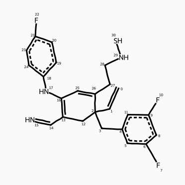 C=CC1(Cc2cc(F)cc(F)c2)CC(C=N)=C(Nc2ccc(F)cc2)C=C1CCNS